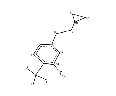 CC(C)(C)c1ccc(CCC2CC2)cc1F